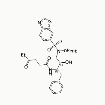 CCCCCN(C[C@@H](O)[C@H](Cc1ccccc1)NC(=O)CCC(=O)CC)S(=O)(=O)c1ccc2ncsc2c1